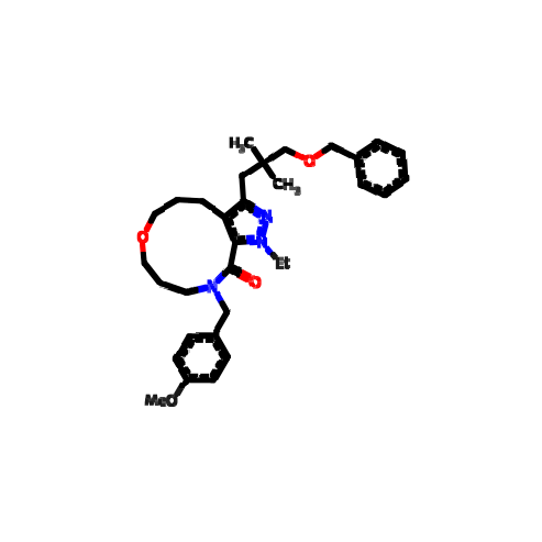 CCn1nc(CC(C)(C)COCc2ccccc2)c2c1C(=O)N(Cc1ccc(OC)cc1)CCCOCCC2